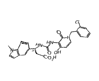 Cn1ccc2cc([C@H](CC(=O)O)NC(=O)Nc3c(O)ccn(Cc4ccccc4Cl)c3=O)ccc21